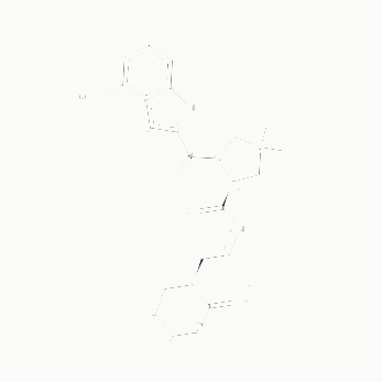 COc1cccc2[nH]c(C(=O)N3C[Si](C)(C)C[C@H]3C(=O)N[C@@H](C[C@@H]3CCCNC3=O)C(=O)O)cc12